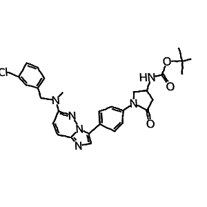 CN(Cc1cccc(Cl)c1)c1ccc2ncc(-c3ccc(N4CC(NC(=O)OC(C)(C)C)CC4=O)cc3)n2n1